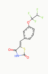 O=C1NC(=O)/C(=C/c2cccc(OC(F)(F)C(F)F)c2)S1